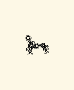 CC(C)(C)OC(=O)NCC(OCc1ccccc1)C(=O)Nc1ccc(-c2cnn(C(=O)OC(C)(C)C)c2)cc1